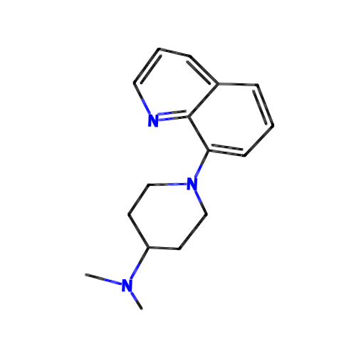 CN(C)C1CCN(c2cccc3cccnc23)CC1